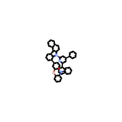 c1ccc(-c2cc(-c3ccccc3)nc(-n3c4ccc5ccccc5c4c4cccc(-c5ccc6c(c5)Oc5ccccc5N6c5ccccc5)c43)c2)cc1